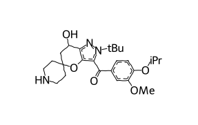 COc1cc(C(=O)c2c3c(nn2C(C)(C)C)C(O)CC2(CCNCC2)O3)ccc1OC(C)C